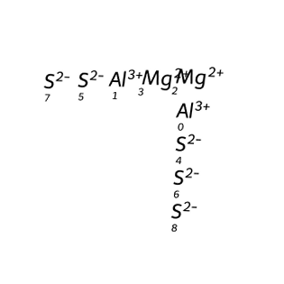 [Al+3].[Al+3].[Mg+2].[Mg+2].[S-2].[S-2].[S-2].[S-2].[S-2]